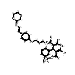 CCC1=C(C(=O)OC)C(c2cccc([N+](=O)[O-])c2)C(C(=O)OCCCSc2ccc(CCOC3CCCCO3)cc2)=C(C)N1